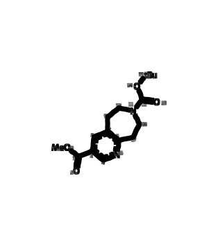 COC(=O)c1cnc2c(c1)CCN(C(=O)OC(C)(C)C)CC2